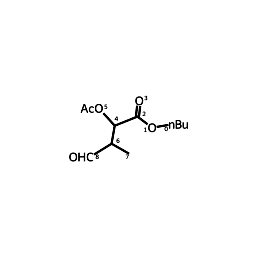 CCCCOC(=O)C(OC(C)=O)C(C)C=O